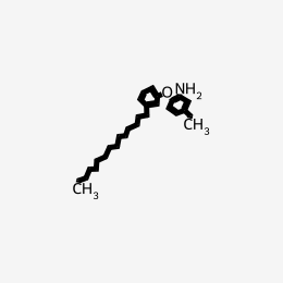 CCCCCCCCCCCCCCCc1cccc(Oc2ccc(CC)cc2N)c1